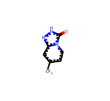 O=c1[nH]nc2cc(C(F)(F)F)ccn12